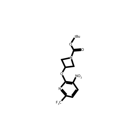 CC(C)(C)OC(=O)N1CC(Oc2nc(C(F)(F)F)ccc2[N+](=O)[O-])C1